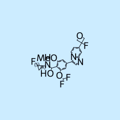 COc1cc(-c2cnc3cc(C4(F)COC4)ccn23)cc(OC(F)F)c1C(O)N[C@@H]1C[C@@H]1F